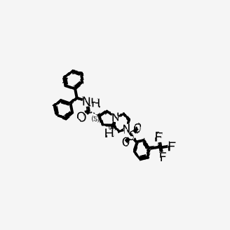 O=C(NC(c1ccccc1)c1ccccc1)[C@H]1C[C@H]2CN(S(=O)(=O)c3cccc(C(F)(F)F)c3)CCN2C1